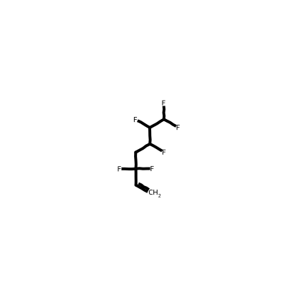 C=CC(F)(F)CC(F)C(F)C(F)F